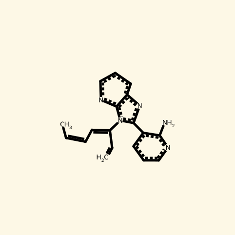 C=C/C(=C\C=C/C)n1c(-c2cccnc2N)nc2cccnc21